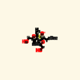 CCCCCCCCCCCCC(C)(OCCO)[S+]([O-])C(C)(CCCCCCCCCCCC)OCCO